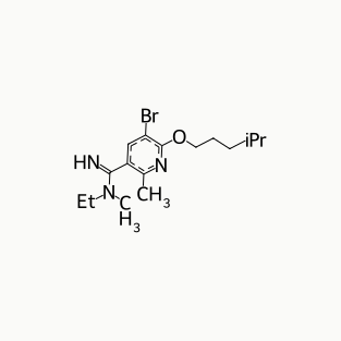 CCN(C)C(=N)c1cc(Br)c(OCCCC(C)C)nc1C